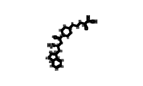 N[C@@H](CC(=O)N1CCC(CCCC(=O)NO)CC1)Cc1csc2ccccc12